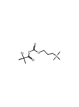 CCC(C)(C)C(=O)OC(=O)OCCC[Si](C)(C)C